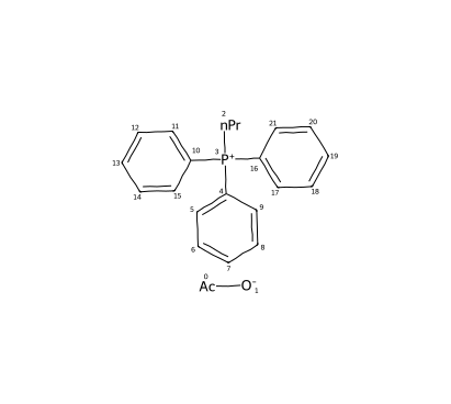 CC(=O)[O-].CCC[P+](c1ccccc1)(c1ccccc1)c1ccccc1